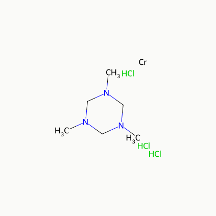 CN1CN(C)CN(C)C1.Cl.Cl.Cl.[Cr]